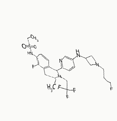 CCS(=O)(=O)Nc1ccc2c(c1F)CC(C)N(CC(F)(F)F)C2c1ccc(NC2CN(CCCF)C2)cn1